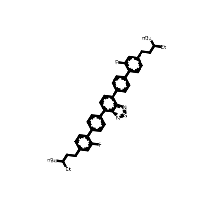 CCCCC(CC)CCc1ccc(-c2ccc(-c3ccc(-c4ccc(-c5ccc(CCC(CC)CCCC)cc5F)cc4)c4nsnc34)cc2)c(F)c1